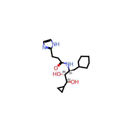 O=C(CCc1ncc[nH]1)N[C@@H](CC1CCCCC1)[C@@H](O)[C@@H](O)C1CC1